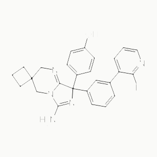 NC1=NC(c2ccc(O)cc2)(c2cccc(-c3cccnc3F)c2)C2=NCC3(CCC3)CN12